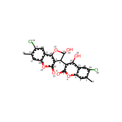 Cc1cc2oc(=O)c(C3c4c(c5cc(Cl)c(C)cc5oc4=O)OC3O)c(O)c2cc1Cl